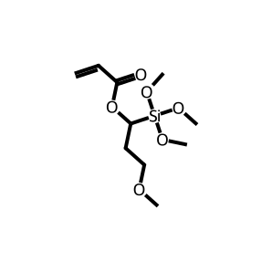 C=CC(=O)OC(CCOC)[Si](OC)(OC)OC